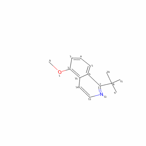 COc1cccc2c(C(C)(C)C)nccc12